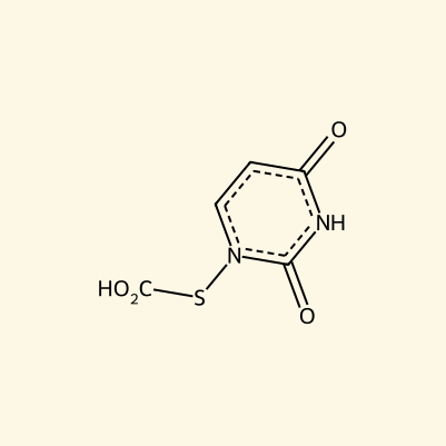 O=C(O)Sn1ccc(=O)[nH]c1=O